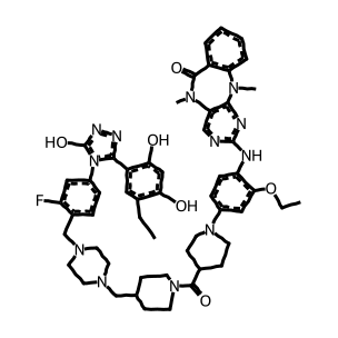 CCOc1cc(N2CCC(C(=O)N3CCC(CN4CCN(Cc5ccc(-n6c(O)nnc6-c6cc(CC)c(O)cc6O)cc5F)CC4)CC3)CC2)ccc1Nc1ncc2c(n1)N(C)c1ccccc1C(=O)N2C